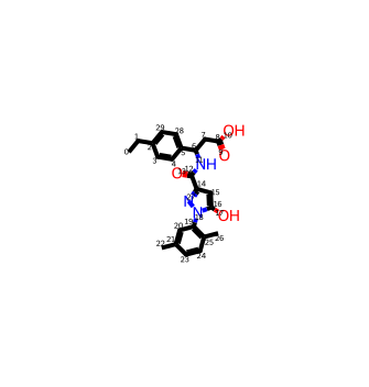 CCc1ccc(C(CC(=O)O)NC(=O)c2cc(O)n(-c3cc(C)ccc3C)n2)cc1